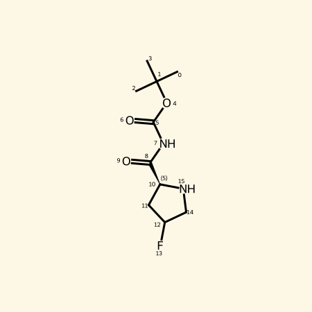 CC(C)(C)OC(=O)NC(=O)[C@@H]1CC(F)CN1